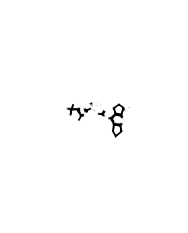 Cc1sc([S@](N)(=O)=NC(=O)Nc2c3c(nc4c2CC[C@H]4C)CCC3)nc1C(C)(C)O